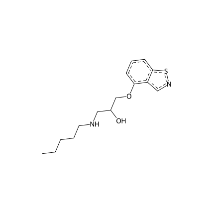 CCCCCNCC(O)COc1cccc2sncc12